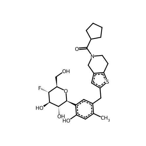 Cc1cc(O)c([C@@H]2O[C@H](CO)[C@@H](F)[C@H](O)[C@H]2O)cc1Cc1cc2c(s1)CCN(C(=O)C1CCCC1)C2